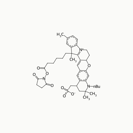 CCCCN1c2cc3c(cc2C(CS(=O)(=O)[O-])CC1(C)C)C=C1C2=[N+](CCC1O3)c1ccc(C)cc1C2(C)CCCCCC(=O)ON1C(=O)CCC1=O